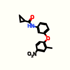 Cc1cc([N+](=O)[O-])ccc1Oc1cccc(NC(=O)C2CC2)c1